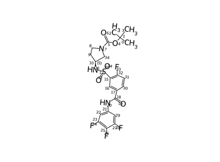 CC(C)(C)OC(=O)N1CC[C@H](NS(=O)(=O)c2cc(C(=O)Nc3cc(F)c(F)c(F)c3)ccc2F)C1